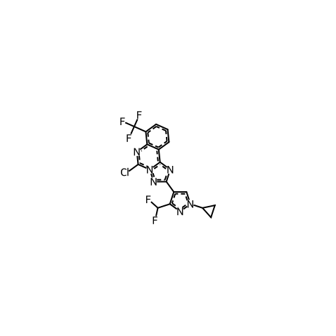 FC(F)c1nn(C2CC2)cc1-c1nc2c3cccc(C(F)(F)F)c3nc(Cl)n2n1